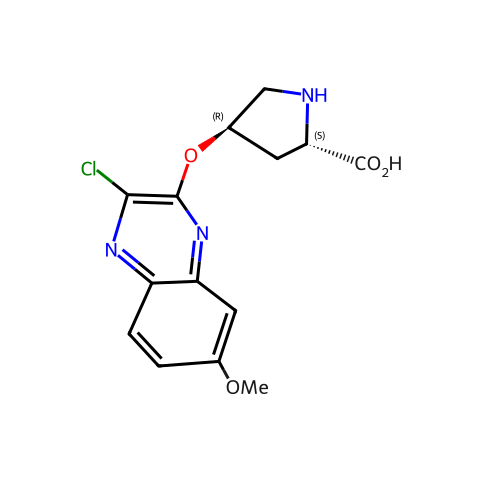 COc1ccc2nc(Cl)c(O[C@H]3CN[C@H](C(=O)O)C3)nc2c1